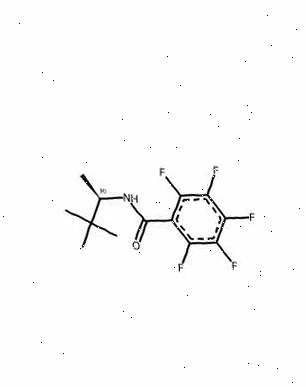 C[C@@H](NC(=O)c1c(F)c(F)c(F)c(F)c1F)C(C)(C)C